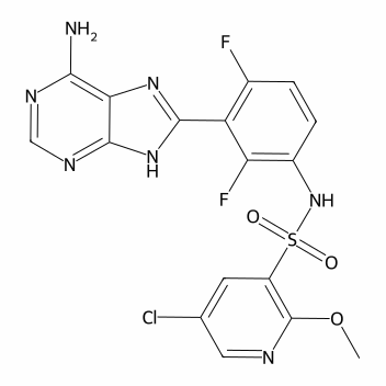 COc1ncc(Cl)cc1S(=O)(=O)Nc1ccc(F)c(-c2nc3c(N)ncnc3[nH]2)c1F